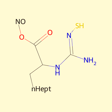 CCCCCCCCC(NC(N)=NS)C(=O)ON=O